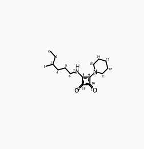 CCC(C)CCCNc1c(N2CCCCC2)c(=O)c1=O